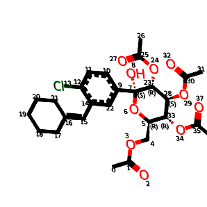 CC(=O)OC[C@H]1O[C@@](O)(c2ccc(Cl)c(C=C3CCCCC3)c2)[C@H](OC(C)=O)[C@@H](OC(C)=O)[C@@H]1OC(C)=O